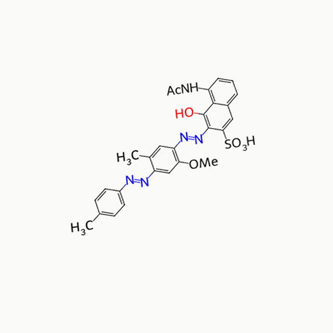 COc1cc(/N=N/c2ccc(C)cc2)c(C)cc1/N=N/c1c(S(=O)(=O)O)cc2cccc(NC(C)=O)c2c1O